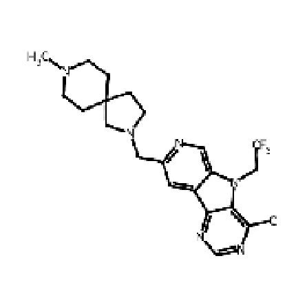 CN1CCC2(CC1)CCN(Cc1cc3c4ncnc(Cl)c4n(CC(F)(F)F)c3cn1)C2